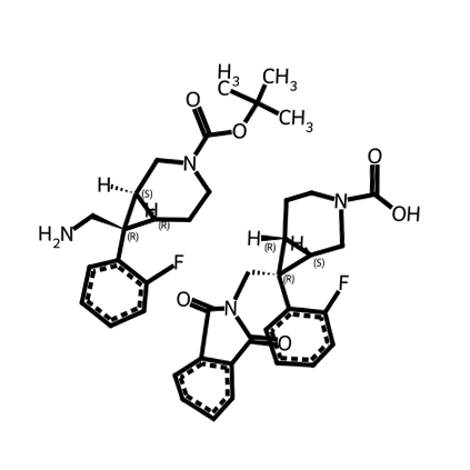 CC(C)(C)OC(=O)N1CC[C@@H]2[C@H](C1)[C@@]2(CN)c1ccccc1F.O=C(O)N1CC[C@@H]2[C@H](C1)[C@@]2(CN1C(=O)c2ccccc2C1=O)c1ccccc1F